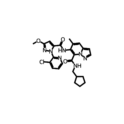 COc1cc(C(=O)Nc2c(C)cc3ccnn3c2C(=O)NCC2CCCC2)n(-c2ncccc2Cl)n1